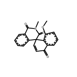 COc1cccc2c1C1(C=CC2=O)C(=O)N(C)C(=O)c2ccccc21